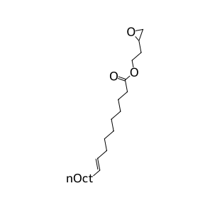 CCCCCCCCC=CCCCCCCCC(=O)OCCC1CO1